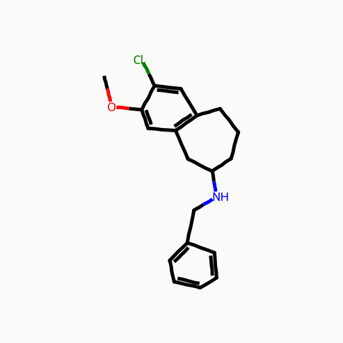 COc1cc2c(cc1Cl)CCCC(NCc1ccccc1)C2